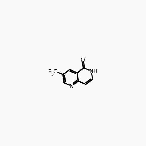 O=c1[nH]ccc2ncc(C(F)(F)F)cc12